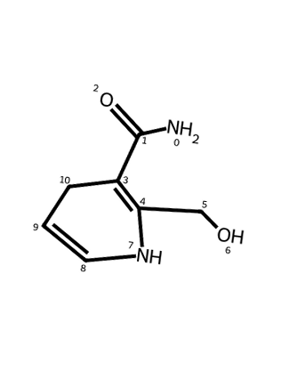 NC(=O)C1=C(CO)NC=CC1